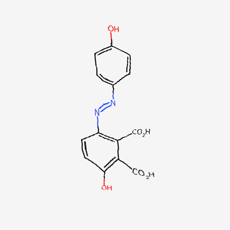 O=C(O)c1c(O)ccc(N=Nc2ccc(O)cc2)c1C(=O)O